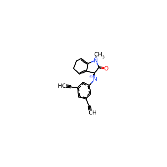 C#Cc1cc(C#C)cc(/N=C2/C(=O)N(C)C3=CCCC=C32)c1